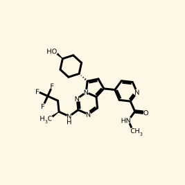 CNC(=O)c1cc(-c2cc([C@H]3CC[C@H](O)CC3)n3nc(N[C@@H](C)CC(F)(F)F)ncc23)ccn1